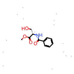 COC(=O)[C@H](CO)NC(=O)c1ccccc1